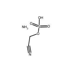 N.N#CCOS(=O)(=O)O